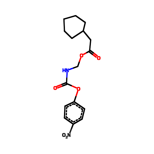 O=C(CC1CCCCC1)OCNC(=O)Oc1ccc([N+](=O)[O-])cc1